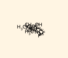 C[C@H](NC(=O)OC(C)(C)C)c1nc2c(F)cccc2cc1C(=O)O